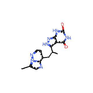 Cc1cnc2c(CC(C)c3[nH]nc4[nH]c(=O)[nH]c(=O)c34)ccnn12